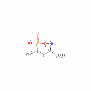 CCCC(CC(N)C(=O)O)P(=O)(O)O